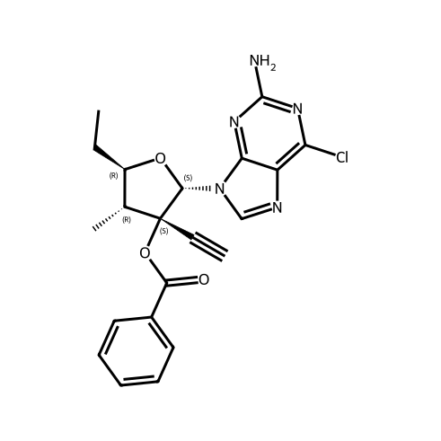 C#C[C@@]1(OC(=O)c2ccccc2)[C@H](C)[C@@H](CC)O[C@@H]1n1cnc2c(Cl)nc(N)nc21